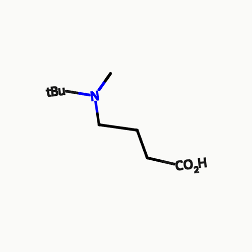 CN(CCCC(=O)O)C(C)(C)C